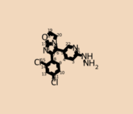 NNc1ccc(-c2c(-c3ccc(Cl)cc3Cl)nc3occn23)cn1